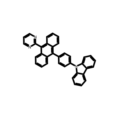 c1cnc(-c2c3ccccc3c(-c3ccc(-n4c5ccccc5c5ccccc54)cc3)c3ccccc23)nc1